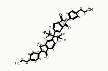 O=C1c2ccc(C(c3ccc4c(c3)C(=O)N(c3ccc(CCO)cc3)C4=O)(C(F)(F)F)C(F)(F)F)cc2C(=O)C1c1ccc(CCO)cc1